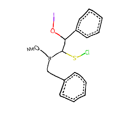 COB(Cc1ccccc1)C(SCl)C(OI)c1ccccc1